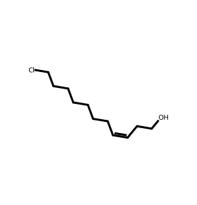 OCC/C=C\CCCCCCCCl